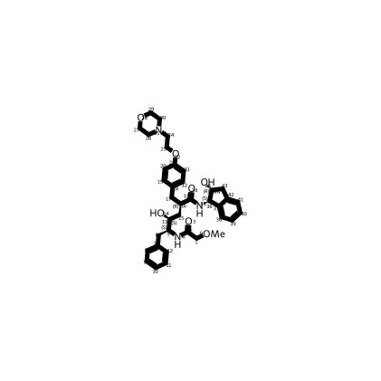 COCC(=O)N[C@@H](Cc1ccccc1)[C@@H](O)C[C@@H](Cc1ccc(OCCN2CCOCC2)cc1)C(=O)N[C@H]1c2ccccc2C[C@H]1O